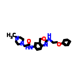 CN1CCN(CC(=O)Nc2ccc3c(c2)COC(NCCOc2ccccc2)=N3)CC1